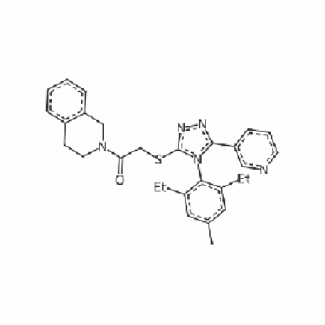 CCc1cc(C)cc(CC)c1-n1c(SCC(=O)N2CCc3ccccc3C2)nnc1-c1cccnc1